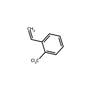 C=Cc1ccccc1C(Cl)(Cl)Cl